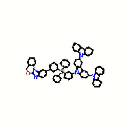 c1ccc([Si](c2ccccc2)(c2cccc(-c3ccc4nc5n(c4c3)-c3ccccc3CO5)c2)c2cccc(-n3c4ccc(-n5c6ccccc6c6ccccc65)cc4c4cc(-n5c6ccccc6c6ccccc65)ccc43)c2)cc1